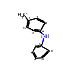 Bc1ccc(Nc2ccccc2)cc1